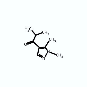 Cc1c(C(=O)C(C)C)cnn1C